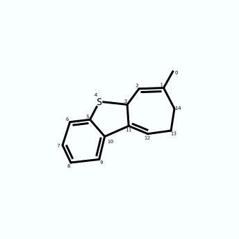 CC1=CC2Sc3ccccc3C2=CCC1